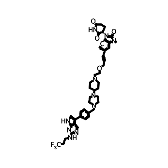 Cn1c(=O)n([C@H]2CCC(=O)NC2=O)c2ccc(C#CCOCCN3CCC(N4CCN(Cc5ccc(-c6c[nH]c7nc(NCCC(F)(F)F)ncc67)cc5)CC4)CC3)cc21